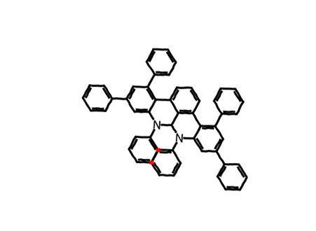 c1ccc(-c2cc(-c3ccccc3)c3c(c2)N(c2ccccc2)C2c4c-3cccc4-c3c(-c4ccccc4)cc(-c4ccccc4)cc3N2c2ccccc2)cc1